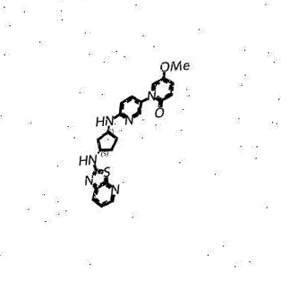 COc1ccc(=O)n(-c2ccc(N[C@H]3CC[C@H](Nc4nc5cccnc5s4)C3)nc2)c1